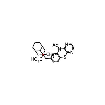 CC(=O)N1c2cc(CN3CC4CCCC(C3)C4C(C)C(=O)O)ccc2Sc2nccnc21